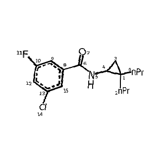 CCCC1(CCC)CC1NC(=O)c1cc(F)cc(Cl)c1